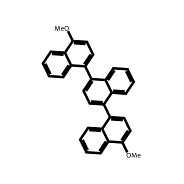 COc1ccc(-c2ccc(-c3ccc(OC)c4ccccc34)c3ccccc23)c2ccccc12